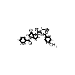 Cc1ccc(C(=O)N[C@@H](CC(C)C)C(=O)N2CCC3C2C(=O)CN3C(=O)c2ccccc2)cc1